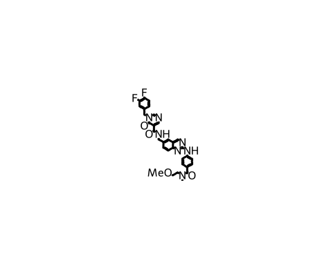 COCCN(C)C(=O)c1ccc(Nc2ncc3cc(CNC(=O)c4cncn(Cc5ccc(F)c(F)c5)c4=O)ccc3n2)cc1